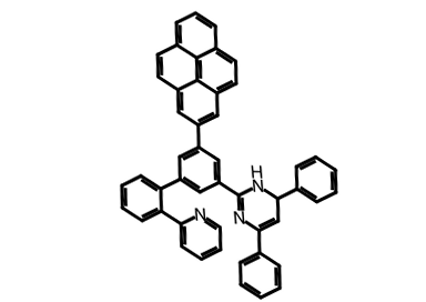 C1=C(c2ccccc2)N=C(c2cc(-c3cc4ccc5cccc6ccc(c3)c4c56)cc(-c3ccccc3-c3ccccn3)c2)NC1c1ccccc1